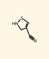 N#CC1=[C]SNC1